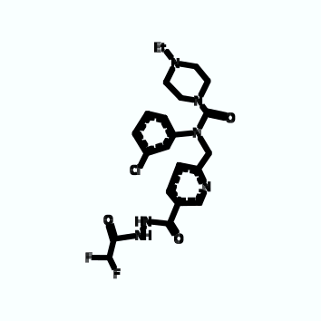 CCN1CCN(C(=O)N(Cc2ccc(C(=O)NNC(=O)C(F)F)cn2)c2cccc(Cl)c2)CC1